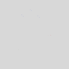 CC(C)c1c(Cl)cc2[nH]nnc2c1O